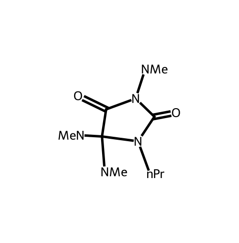 [CH2]CCN1C(=O)N(NC)C(=O)C1(NC)NC